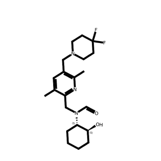 Cc1cc(CN2CCC(F)(F)CC2)c(C)nc1CN(C=O)[C@H]1CCCC[C@@H]1O